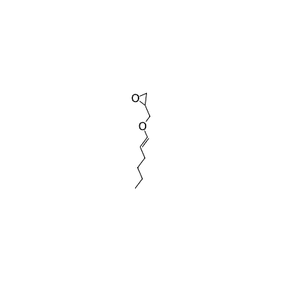 CCCCC=COCC1CO1